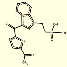 O=C(c1nc(C(=O)C(F)(F)F)cs1)c1cn(COP(=O)(O)O)c2ccccc12